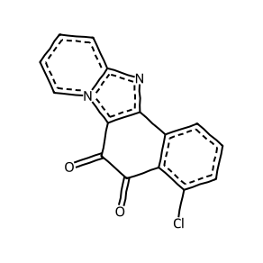 O=C1C(=O)c2c(nc3ccccn23)-c2cccc(Cl)c21